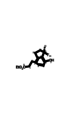 CCOC(=O)CCc1ccc(O)c2c1CCC2(F)F